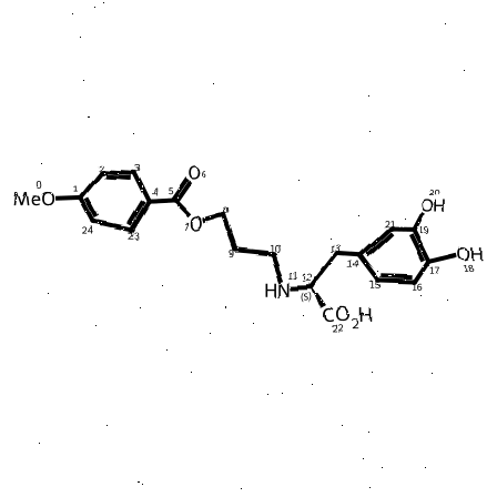 COc1ccc(C(=O)OCCCN[C@@H](Cc2ccc(O)c(O)c2)C(=O)O)cc1